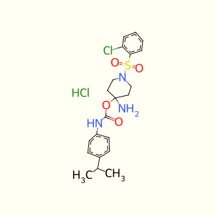 CC(C)c1ccc(NC(=O)OC2(N)CCN(S(=O)(=O)c3ccccc3Cl)CC2)cc1.Cl